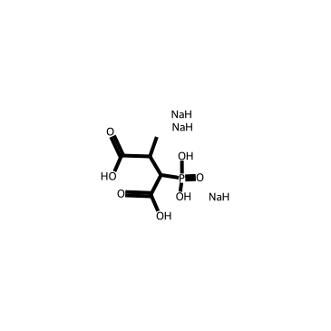 CC(C(=O)O)C(C(=O)O)P(=O)(O)O.[NaH].[NaH].[NaH]